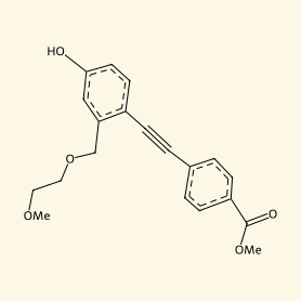 COCCOCc1cc(O)ccc1C#Cc1ccc(C(=O)OC)cc1